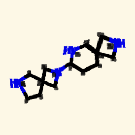 C1CC2(CN1)CN(C1CCC3(CNC3)CN1)C2